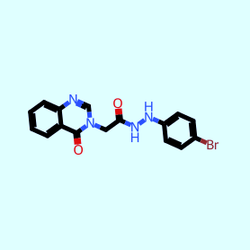 O=C(Cn1cnc2ccccc2c1=O)NNc1ccc(Br)cc1